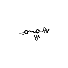 C=C(C)C(=O)OC.C=CC(C)(C)OC(=O)COc1ccc(C=CC=Cc2ccc(O)cc2)cc1